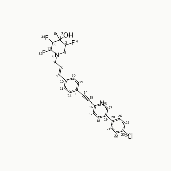 CC1(O)C(F)CN(CC=Cc2ccc(C#Cc3ccc(-c4ccc(Cl)cc4)cn3)cc2)C(F)C1F